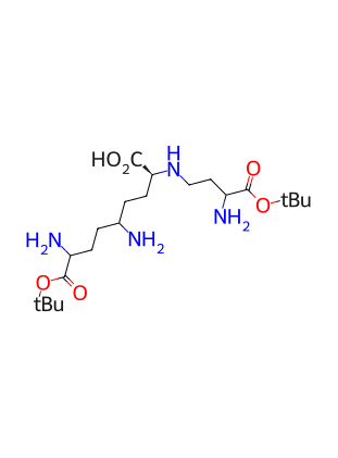 CC(C)(C)OC(=O)C(N)CCN[C@@H](CCC(N)CCC(N)C(=O)OC(C)(C)C)C(=O)O